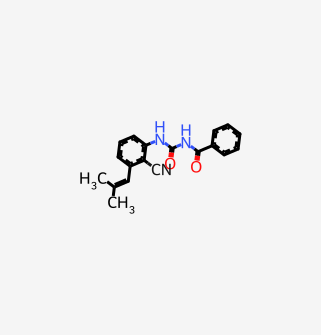 CC(C)=Cc1cccc(NC(=O)NC(=O)c2ccccc2)c1C#N